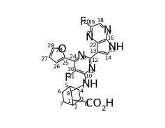 O=C(O)C1C2CCC(CC2)C1Nc1nc(-c2c[nH]c3ncc(F)nc23)nc(-c2ccco2)c1F